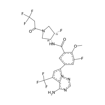 COc1c(F)cc(-c2cc(C(F)(F)F)c3c(N)ncnn23)cc1C(=O)N[C@@H]1CN(C(=O)CC(F)(F)F)C[C@@H]1F